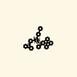 c1ccc(-c2ccc(-c3nc(-c4cccc(-n5c6ccccc6c6ccccc65)c4)nc(-n4c5ccccc5c5cc6c(cc54)-c4ccccc4C64c5ccccc5-c5ccccc54)n3)cc2)cc1